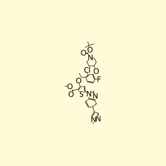 COC(=O)c1sc(-n2cnc3c2C=CC(c2cnn(C)c2)C3)cc1OC(C)c1ccc(F)c(OC2CCN(C(=O)OC(C)(C)C)CC2)c1Cl